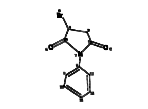 O=C1CC(Br)C(=O)N1c1ccccc1